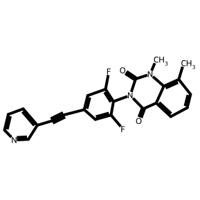 Cc1cccc2c(=O)n(-c3c(F)cc(C#Cc4cccnc4)cc3F)c(=O)n(C)c12